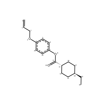 C=CCOc1ccc(OC(=O)[C@H]2CC[C@H](CC)CC2)cc1